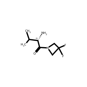 CC(C)[C@H](N)C(=O)N1CC(F)(F)C1